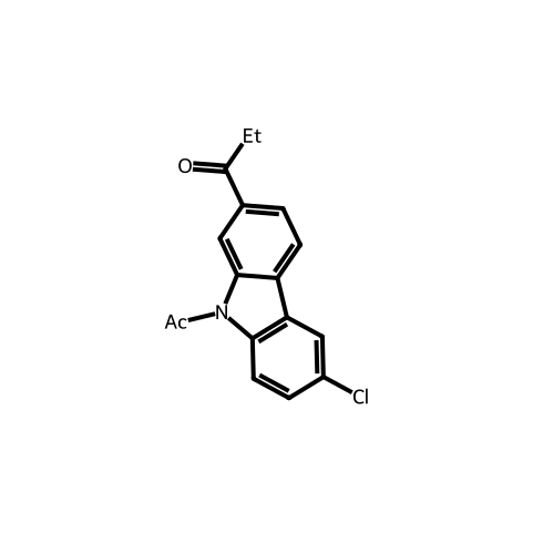 CCC(=O)c1ccc2c3cc(Cl)ccc3n(C(C)=O)c2c1